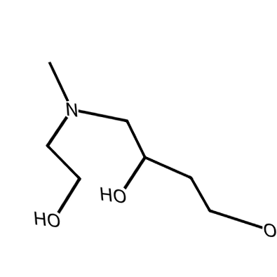 CN(CCO)CC(O)CC[O]